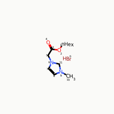 Br.CCCCCCOC(=O)CN1C=CN(C)C1